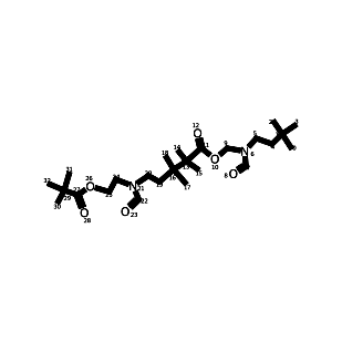 CC(C)(C)CCN(C=O)COC(=O)C(C)(C)C(C)(C)CCN(C=O)CCOC(=O)C(C)(C)C